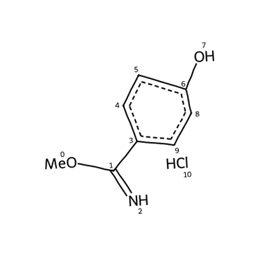 COC(=N)c1ccc(O)cc1.Cl